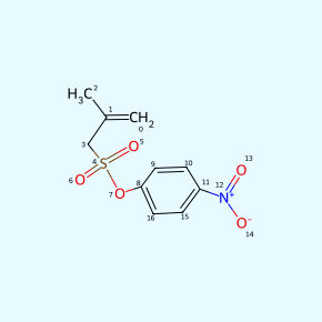 C=C(C)CS(=O)(=O)Oc1ccc([N+](=O)[O-])cc1